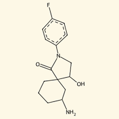 NC1CCCC2(C1)C(=O)N(c1ccc(F)cc1)CC2O